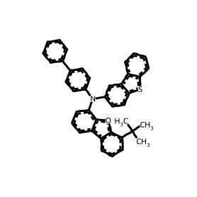 CC(C)(C)c1cccc2c1oc1c(N(c3ccc(-c4ccccc4)cc3)c3ccc4sc5ccccc5c4c3)cccc12